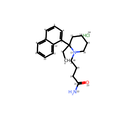 CCC1(c2cccc3ccccc23)CCCCN1CCCC(N)=O.Cl